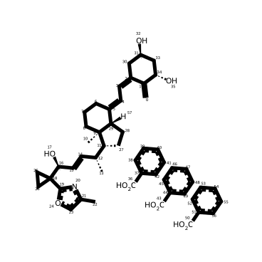 C=C1/C(=C\C=C2/CCC[C@]3(C)[C@@H]([C@H](C)/C=C/[C@H](O)C4(c5nc(C)co5)CC4)CC[C@@H]23)C[C@@H](O)C[C@@H]1O.O=C(O)c1ccccc1.O=C(O)c1ccccc1.O=C(O)c1ccccc1